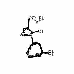 CCOC(=O)c1cnn(-c2cccc(CC)c2)c1Cl